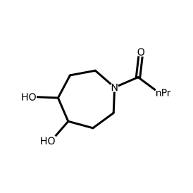 CCCC(=O)N1CCC(O)C(O)CC1